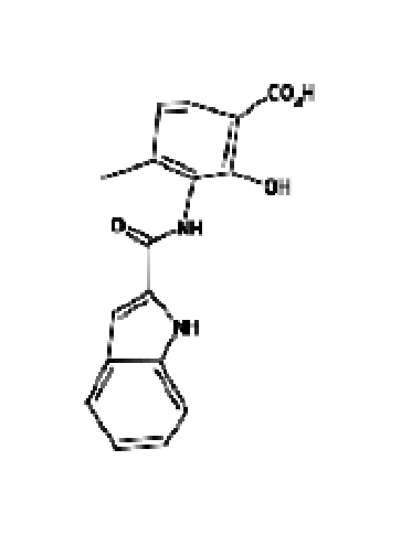 Cc1ccc(C(=O)O)c(O)c1NC(=O)c1cc2ccccc2[nH]1